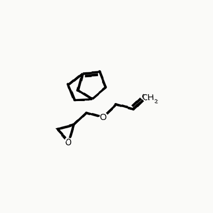 C1=C2CCC(C1)C2.C=CCOCC1CO1